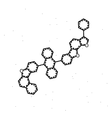 c1ccc(-c2coc3c2ccc2c4cc(-c5c6ccccc6c(-c6ccc7oc8ccc9ccccc9c8c7c6)c6ccccc56)ccc4oc23)cc1